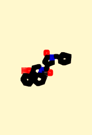 O=C1CC(C(=O)N2CC[C@](O)(c3ccccc3)[C@H]3CCCC[C@H]32)CN1Cc1ccccc1